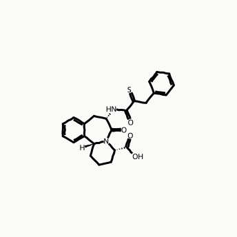 O=C(N[C@H]1Cc2ccccc2[C@H]2CCC[C@@H](C(=O)O)N2C1=O)C(=S)Cc1ccccc1